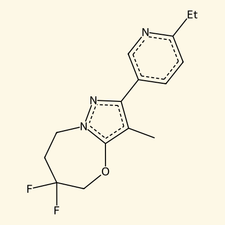 CCc1ccc(-c2nn3c(c2C)OCC(F)(F)CC3)cn1